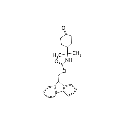 CC(C)(NC(=O)OCC1c2ccccc2-c2ccccc21)C1CCC(=O)CC1